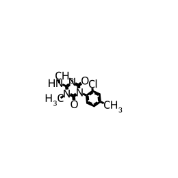 CNc1nc(=O)n(-c2ccc(C)cc2Cl)c(=O)n1C